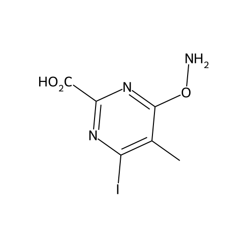 Cc1c(I)nc(C(=O)O)nc1ON